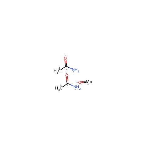 CC(N)=O.CC(N)=O.[O]=[Mo]